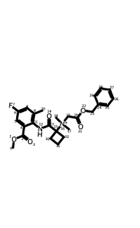 COC(=O)c1cc(F)cc(C)c1NC(=O)C1([N+](C)(C)CC(=O)OCc2ccccc2)CCC1